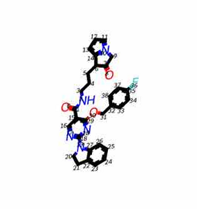 O=C(NCCCC1C(=O)Cn2cccc21)c1cnc(N2CCc3ccccc32)nc1OCc1ccc(F)cc1